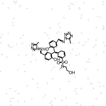 Cc1nnnn1N=Cc1ccc(O)c(C(=C2C=C(S(=O)(=O)N(C)CCO)C=CC2)c2cc(C=Nn3nnnc3C)ccc2O)c1